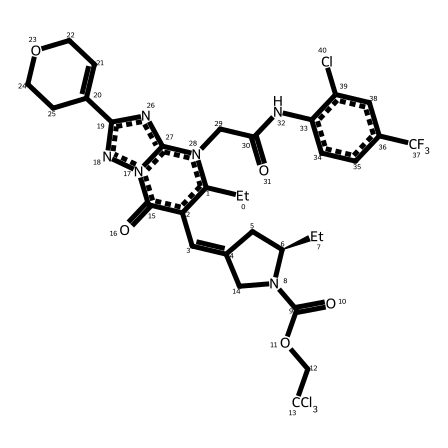 CCc1c(/C=C2\C[C@@H](CC)N(C(=O)OCC(Cl)(Cl)Cl)C2)c(=O)n2nc(C3=CCOCC3)nc2n1CC(=O)Nc1ccc(C(F)(F)F)cc1Cl